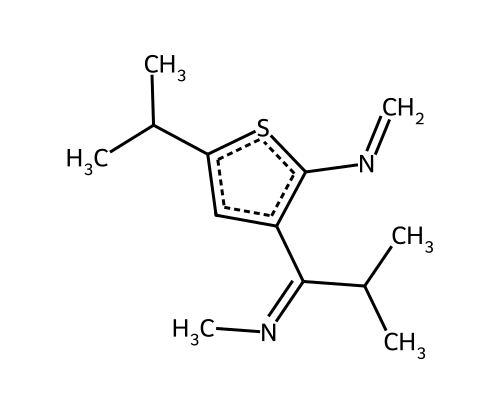 C=Nc1sc(C(C)C)cc1/C(=N\C)C(C)C